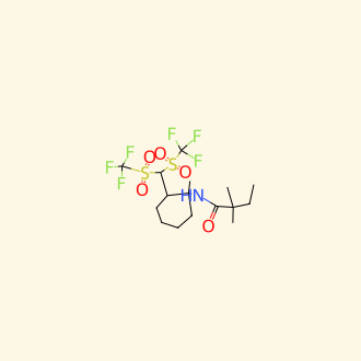 CCC(C)(C)C(=O)NC1(C)CCCCC1C(S(=O)(=O)C(F)(F)F)S(=O)(=O)C(F)(F)F